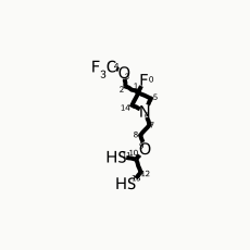 FC1(COC(F)(F)F)CN(CCOC(S)CS)C1